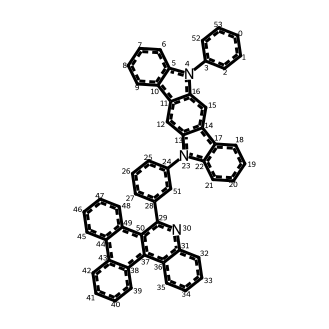 c1ccc(-n2c3ccccc3c3cc4c(cc32)c2ccccc2n4-c2cccc(-c3nc4ccccc4c4c5ccccc5c5ccccc5c34)c2)cc1